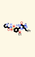 CCOc1ccc(S(=O)(=O)NC(=O)C2CCCN2C)cc1-c1nc2c(CC(C)C)nn(C)c2c(=O)[nH]1